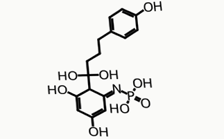 O=P(O)(O)/N=C1\C=C(O)C=C(O)C1C(O)(O)CCCc1ccc(O)cc1